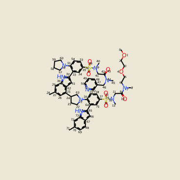 COCCOCCN(C)C(=O)CN(C)S(=O)(=O)c1ccc(N2CCC(c3cc(C)cc4[nH]c(-c5cc(S(=O)(=O)N(C)CC(=O)N(C)Cc6cccnc6)ccc5N5CCCC5)cc34)C2)c(-c2cc3ccc(C)cc3[nH]2)c1